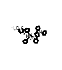 C=C/C=C\c1sc2c(-c3nc(-c4ccccc4)nc(-n4c5ccccc5c5cc6c(cc54)c4ccccc4n6-c4ccccc4)n3)cccc2c1C